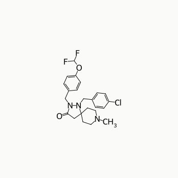 CN1CCC2(CC1)CC(=O)N(Cc1ccc(OC(F)F)cc1)N2Cc1ccc(Cl)cc1